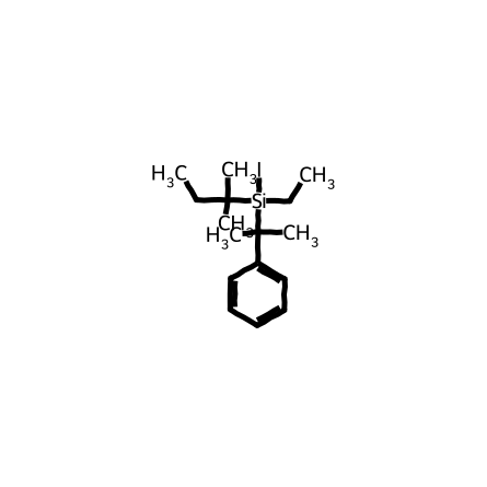 CCC(C)(C)[Si](I)(CC)C(C)(C)c1ccccc1